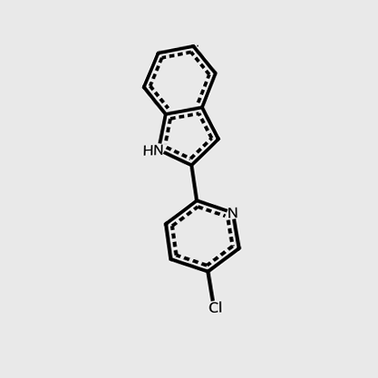 Clc1ccc(-c2cc3c[c]ccc3[nH]2)nc1